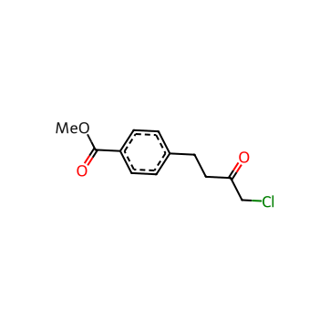 COC(=O)c1ccc(CCC(=O)CCl)cc1